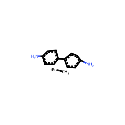 CC(C)(C)C.Nc1ccc(-c2ccc(N)cc2)cc1